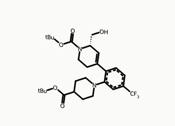 CC(C)(C)OC(=O)C1CCN(c2cc(C(F)(F)F)ccc2C2=C[C@@H](CO)N(C(=O)OC(C)(C)C)CC2)CC1